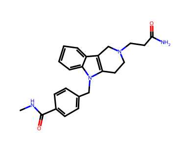 CNC(=O)c1ccc(Cn2c3c(c4ccccc42)CN(CCC(N)=O)CC3)cc1